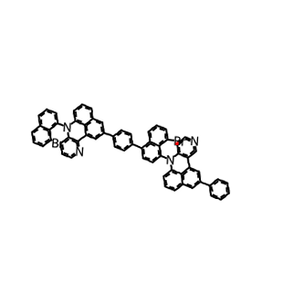 Brc1cccc2cccc(N3c4cccnc4-c4cc(-c5ccc(-c6ccc(N7c8ccncc8-c8cc(-c9ccccc9)cc9cccc7c89)c7c(Br)cccc67)cc5)cc5cccc3c45)c12